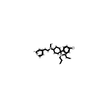 CCCN(CCC)C1(c2ccc(Cl)cc2)CCC(N(C)CCc2ccccc2)CC1